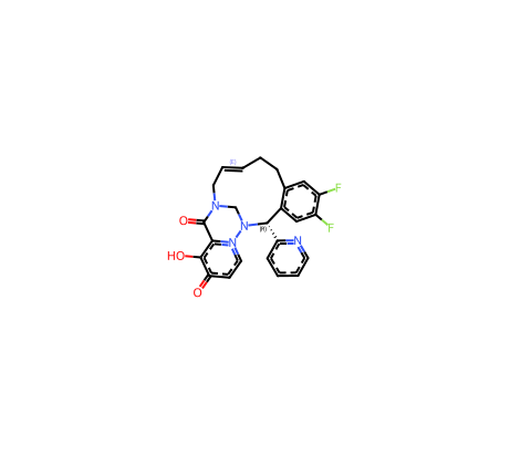 O=C1c2c(O)c(=O)ccn2N2CN1C/C=C/CCc1cc(F)c(F)cc1[C@@H]2c1ccccn1